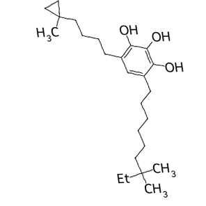 CCC(C)(C)CCCCCCc1cc(CCCCC2(C)CC2)c(O)c(O)c1O